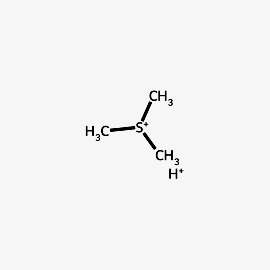 C[S+](C)C.[H+]